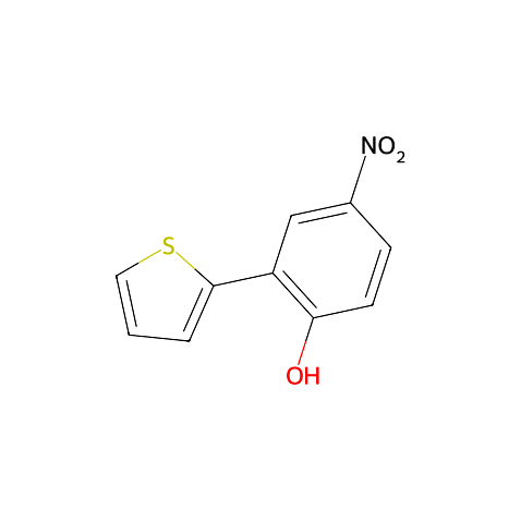 O=[N+]([O-])c1ccc(O)c(-c2cccs2)c1